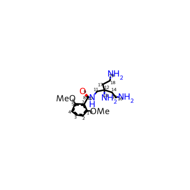 COc1cccc(OC)c1C(=O)NCC(N)(CCN)CCN